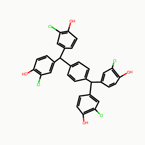 Oc1ccc(C(c2ccc(C(c3ccc(O)c(Cl)c3)c3ccc(O)c(Cl)c3)cc2)c2ccc(O)c(Cl)c2)cc1Cl